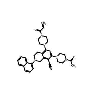 C=CC(=O)N1CCN(c2nc(N3CCN(C(C)=O)CC3)c(C#N)c3c2CCN(c2cccc4ccccc24)C3)CC1